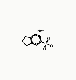 O=S(=O)([O-])c1ccc2c(c1)CSC2.[Na+]